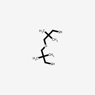 CC(C)(CS)COCC(C)(C)CS